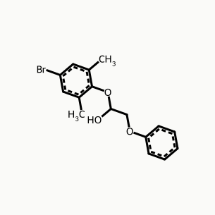 Cc1cc(Br)cc(C)c1OC(O)COc1ccccc1